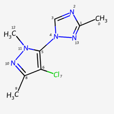 Cc1ncn(-c2c(Cl)c(C)nn2C)n1